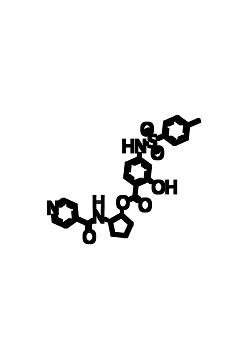 Cc1ccc(S(=O)(=O)Nc2ccc(C(=O)O[C@@H]3CCC[C@H]3NC(=O)c3ccncc3)c(O)c2)cc1